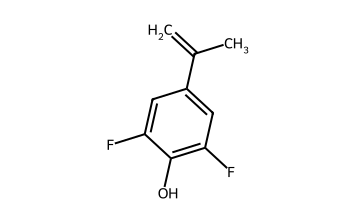 C=C(C)c1cc(F)c(O)c(F)c1